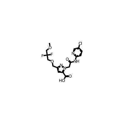 COCC(F)(F)COCc1cc(C(=O)O)n(CC(=O)Nc2ccc(Cl)cn2)n1